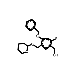 OCc1cc(COC2CCCCO2)c(OCc2ccccc2)cc1F